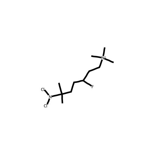 CC(C)(CCC(F)CC[N+](C)(C)C)N(Cl)Cl